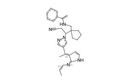 C=C(NCC1(C(CC#N)n2cc(\C(C)=C3/C=CN/C3=N/C=C\C)cn2)CCCC1)c1ccccc1